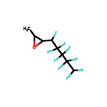 CC1OC1C(F)C(F)(F)C(F)(F)C(F)(F)C(F)F